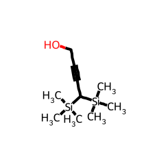 C[Si](C)(C)C(C#CCO)[Si](C)(C)C